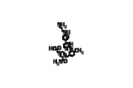 CC1CC=C(CN2CCN(CC(=O)O)CC2C(N)=O)C=C1Nc1nccc(-c2ccc(NCCCN)nc2)n1